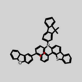 CC1(C)c2ccccc2-c2ccc(N(c3ccc(-c4ccc5c(c4)C4C=CC=CC4O5)cc3)c3ccc4c(sc5ccccc54)c3-c3ccccc3)cc21